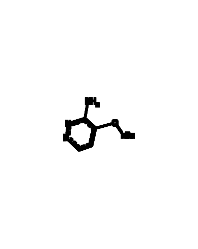 CCCCOc1ccnnc1N